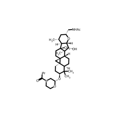 CC(=O)NC[C@H]1C[C@@H](C)[C@H]2[C@H](O1)[C@H](O)[C@@]1(C)[C@@H]3CC[C@H]4C(C)(C)[C@@H](O[C@H]5CN(C(=O)C(C)C)CCO5)CC[C@@]45C[C@@]35CC[C@]21C